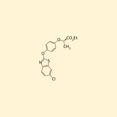 CCOC(=O)[C@@H](C)Oc1ccc(Oc2nc3ccc(Cl)cc3s2)cc1